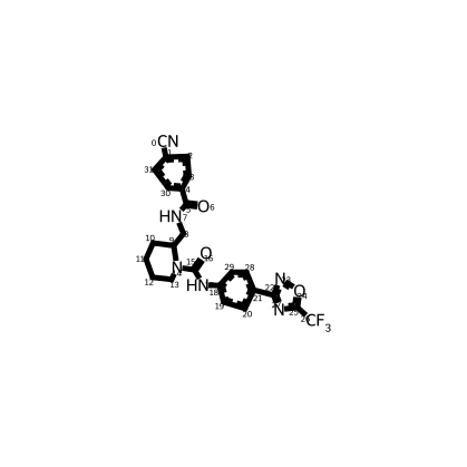 N#Cc1ccc(C(=O)NCC2CCCCN2C(=O)Nc2ccc(-c3noc(C(F)(F)F)n3)cc2)cc1